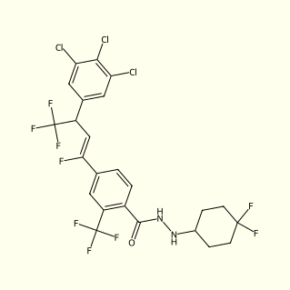 O=C(NNC1CCC(F)(F)CC1)c1ccc(C(F)=CC(c2cc(Cl)c(Cl)c(Cl)c2)C(F)(F)F)cc1C(F)(F)F